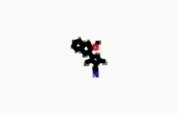 COc1cc2ccccc2cc1C1CC(C)C(C#N)C1C